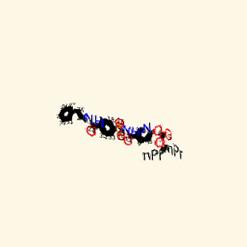 CCCC(CCC)OC(=O)Oc1ccc(C(=O)NS(=O)(=O)c2ccc(C(=O)NCCc3ccccc3)cc2)cn1